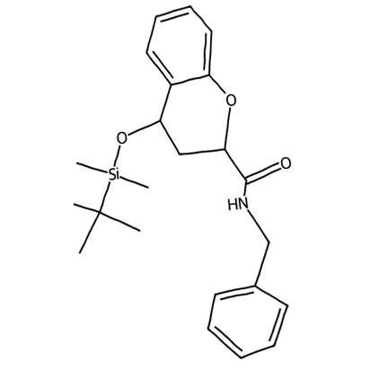 CC(C)(C)[Si](C)(C)OC1CC(C(=O)NCc2ccccc2)Oc2ccccc21